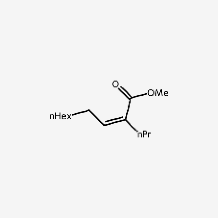 CCCCCCCC=C(CCC)C(=O)OC